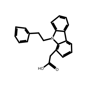 O=C(O)Cc1cccc2c3ccccc3n(CCc3ccccc3)c12